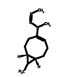 C/N=N\N(C)/C1=C/CC[C@@H]2C(C)[C@@H]2CC1